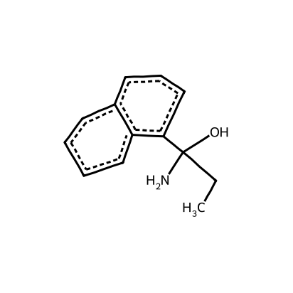 CCC(N)(O)c1cccc2ccccc12